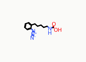 [N-]=[N+]=Nc1ccccc1CCCCCNC(=O)O